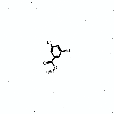 CCCCOC(=O)c1cc(Br)cc(CC)c1